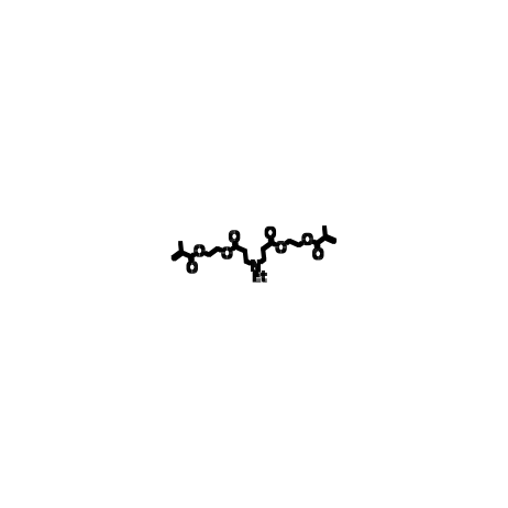 C=C(C)C(=O)OCCOC(=O)CCN(CC)CCC(=O)OCCOC(=O)C(=C)C